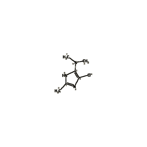 Cc1nc(Cl)c(N(C)C)[nH]1